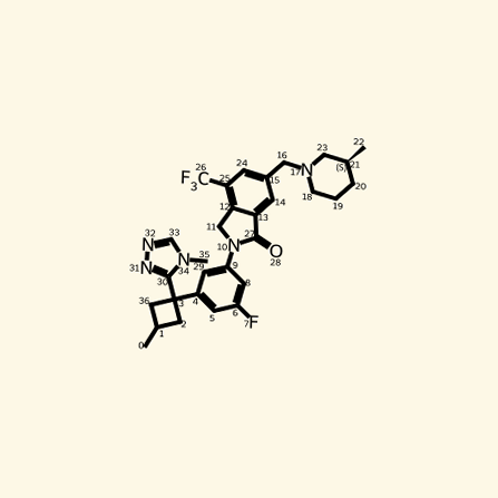 CC1CC(c2cc(F)cc(N3Cc4c(cc(CN5CCC[C@H](C)C5)cc4C(F)(F)F)C3=O)c2)(c2nncn2C)C1